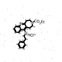 CCOC(=O)N1CCc2nc3ccccc3c(OCCc3ccccc3)c2CC1.Cl